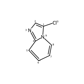 Clc1cnc2c[c]ccn12